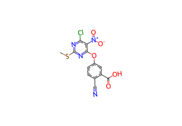 CSc1nc(Cl)c([N+](=O)[O-])c(Oc2ccc(C#N)c(C(=O)O)c2)n1